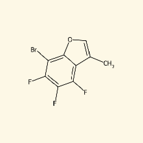 Cc1coc2c(Br)c(F)c(F)c(F)c12